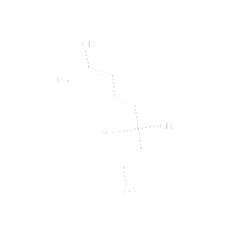 CC(=O)O/C=C/C(C)(C)CCC=C(C)C